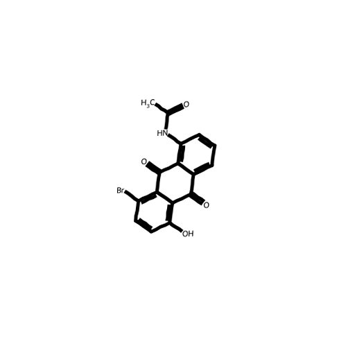 CC(=O)Nc1cccc2c1C(=O)c1c(Br)ccc(O)c1C2=O